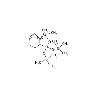 C[Si](C)(C)O[Si](O[Si](C)(C)C)(O[Si](C)(C)C)C1CC=CCC1